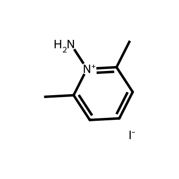 Cc1cccc(C)[n+]1N.[I-]